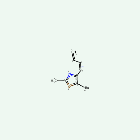 C=C/C=C\c1nc(C)sc1C(C)CC